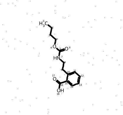 CCCCOC(=O)NCCc1ccccc1C(=O)O